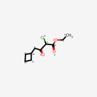 CCOC(=O)C(Cl)C(=O)CC1CCC1